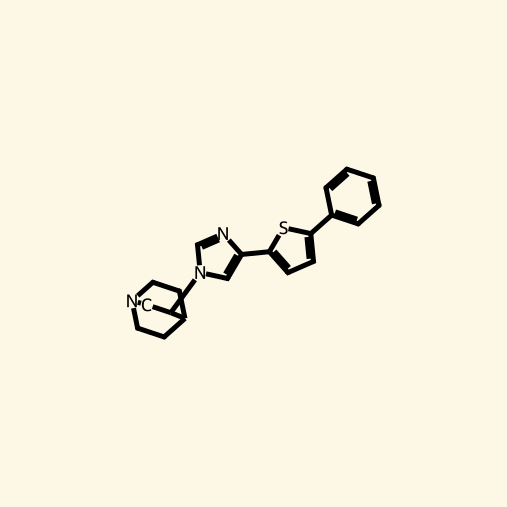 c1ccc(-c2ccc(-c3cn(C4CN5CCC4CC5)cn3)s2)cc1